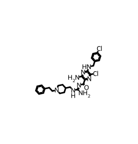 N/C(=N\C(=O)c1nc(Cl)c(NCc2ccc(Cl)cc2)nc1N)NCC1CCN(CCc2ccccc2)CC1